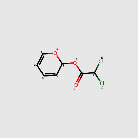 O=C(OC1C=CC=CO1)C(Cl)Cl